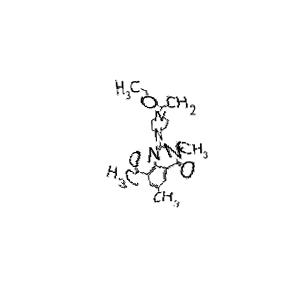 C=C(OCC)N1CCN(c2nc3c(C(C)=O)cc(C)cc3c(=O)n2C)CC1